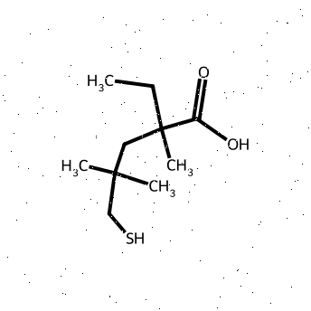 CCC(C)(CC(C)(C)CS)C(=O)O